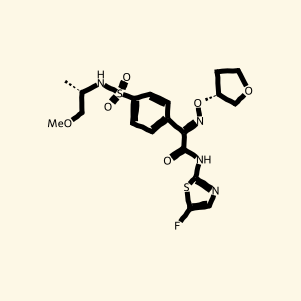 COC[C@H](C)NS(=O)(=O)c1ccc(/C(=N\O[C@@H]2CCOC2)C(=O)Nc2ncc(F)s2)cc1